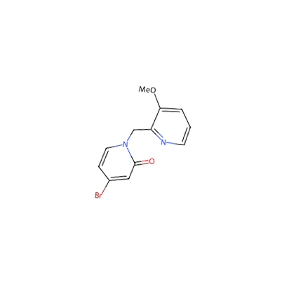 COc1cccnc1Cn1ccc(Br)cc1=O